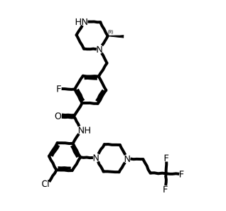 C[C@@H]1CNCCN1Cc1ccc(C(=O)Nc2ccc(Cl)cc2N2CCN(CCC(F)(F)F)CC2)c(F)c1